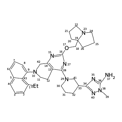 CCc1cccc2cccc(N3CCc4c(nc(OCC56CCCN5CCC6)nc4N4CCCC(c5nc(N)n(C)n5)C4)C3)c12